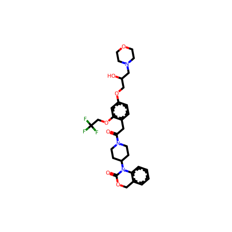 O=C(Cc1ccc(OCC(O)CN2CCOCC2)cc1OCC(F)(F)F)N1CCC(N2C(=O)OCc3ccccc32)CC1